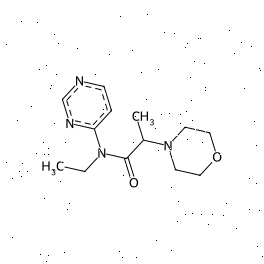 CCN(C(=O)C(C)N1CCOCC1)c1ccncn1